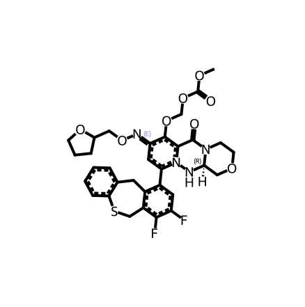 COC(=O)OCOc1c2n(c(-c3cc(F)c(F)c4c3Cc3ccccc3SC4)c/c1=N\OCC1CCCO1)N[C@@H]1COCCN1C2=O